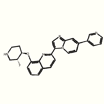 F[C@@H]1CNCC[C@H]1Oc1cccc2ccc(-c3cnc4cc(-c5cccnc5)ccn34)nc12